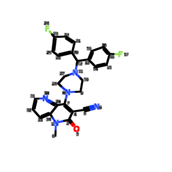 Cn1c(=O)c(C#N)c(N2CCN(C(c3ccc(F)cc3)c3ccc(F)cc3)CC2)c2ncccc21